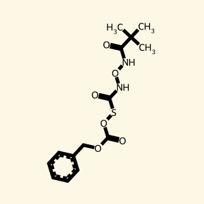 CC(C)(C)C(=O)NONC(=O)SOC(=O)OCc1ccccc1